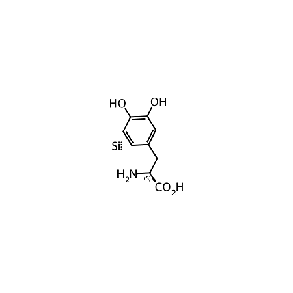 N[C@@H](Cc1ccc(O)c(O)c1)C(=O)O.[Si]